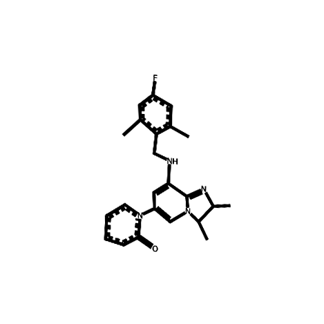 Cc1cc(F)cc(C)c1CNC1=CC(n2ccccc2=O)=CN2C1=NC(C)C2C